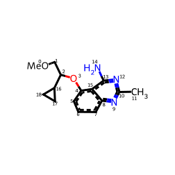 COCC(Oc1cccc2nc(C)nc(N)c12)C1CC1